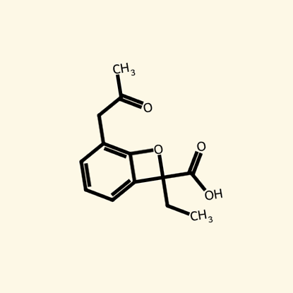 CCC1(C(=O)O)Oc2c(CC(C)=O)cccc21